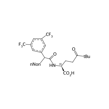 CCCCCCCCCC(C(=O)N[C@@H](CCC(=O)C(C)(C)C)C(=O)O)c1cc(C(F)(F)F)cc(C(F)(F)F)c1